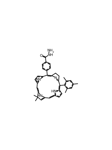 Cc1cc(C)c(/C2=c3\cc/c([nH]3)=C/C3=CC(C)(C)/C(=C/c4ccc([nH]4)/C(c4ccc(C(=O)NN)cc4)=C4/CCC2=N4)N3)c(C)c1